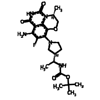 CC(NC(=O)OC(C)(C)C)[C@H]1CCN(c2c(F)c(N)c3c(=O)[nH]c(=O)n4c3c2OC[C@H]4C)C1